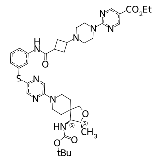 CCOC(=O)c1cnc(N2CCN(C3CC(C(=O)Nc4cccc(Sc5cnc(N6CCC7(CC6)CO[C@@H](C)[C@H]7NC(=O)OC(C)(C)C)cn5)c4)C3)CC2)nc1